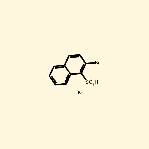 O=S(=O)(O)c1c(Br)ccc2ccccc12.[K]